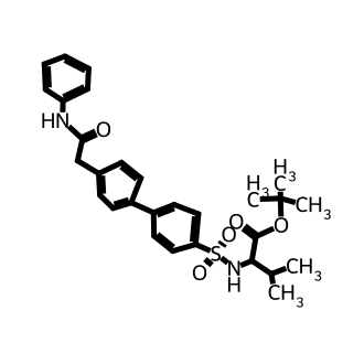 CC(C)C(NS(=O)(=O)c1ccc(-c2ccc(CC(=O)Nc3ccccc3)cc2)cc1)C(=O)OC(C)(C)C